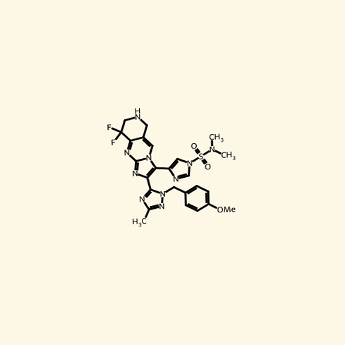 COc1ccc(Cn2nc(C)nc2-c2nc3nc4c(cn3c2-c2cn(S(=O)(=O)N(C)C)cn2)CNCC4(F)F)cc1